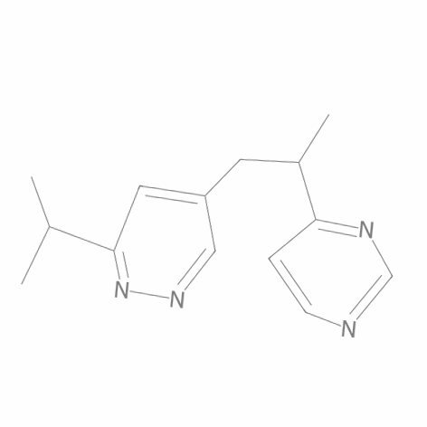 CC(C)c1cc(CC(C)c2ccncn2)cnn1